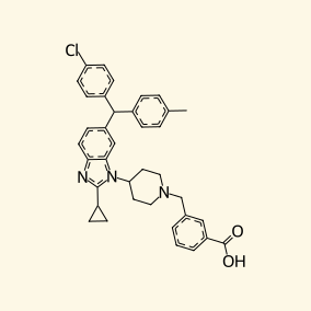 Cc1ccc(C(c2ccc(Cl)cc2)c2ccc3nc(C4CC4)n(C4CCN(Cc5cccc(C(=O)O)c5)CC4)c3c2)cc1